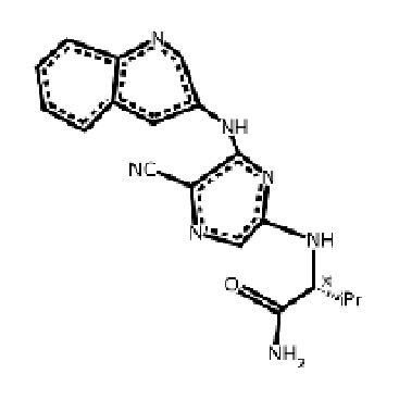 CC(C)[C@@H](Nc1cnc(C#N)c(Nc2cnc3ccccc3c2)n1)C(N)=O